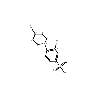 CCN1CCN(c2ccc(S(C)(=O)=O)cc2N=O)CC1